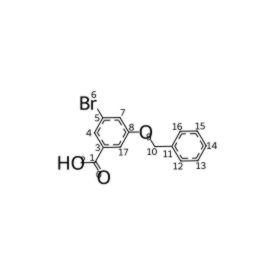 O=C(O)c1cc(Br)cc(OCc2ccccc2)c1